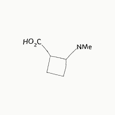 CNC1CCC1C(=O)O